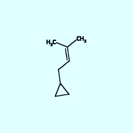 CC(C)=CC[C]1CC1